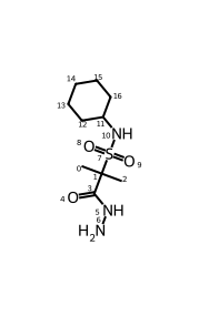 CC(C)(C(=O)NN)S(=O)(=O)NC1CCCCC1